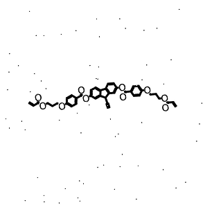 C#CC1c2cc(OC(=O)c3ccc(OCCCOC(=O)C=C)cc3)ccc2-c2ccc(OC(=O)c3ccc(OCCCOC(=O)C=C)cc3)cc21